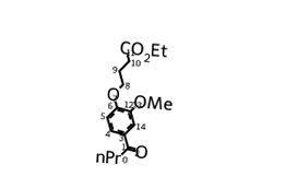 CCCC(=O)c1ccc(OCCCC(=O)OCC)c(OC)c1